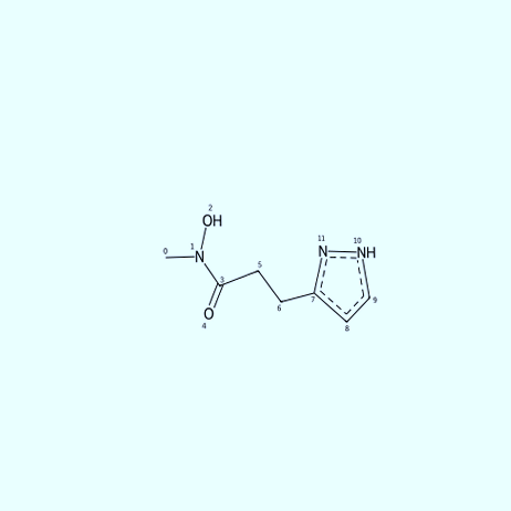 CN(O)C(=O)CCc1cc[nH]n1